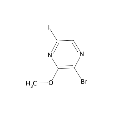 COc1nc(I)cnc1Br